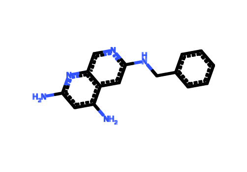 Nc1cc(N)c2cc(NCc3ccccc3)ncc2n1